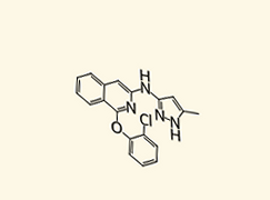 Cc1cc(Nc2cc3ccccc3c(Oc3ccccc3Cl)n2)n[nH]1